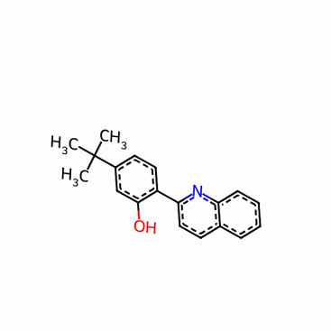 CC(C)(C)c1ccc(-c2ccc3ccccc3n2)c(O)c1